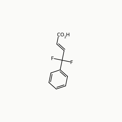 O=C(O)C=CC(F)(F)c1ccccc1